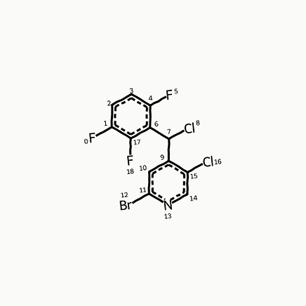 Fc1ccc(F)c(C(Cl)c2cc(Br)ncc2Cl)c1F